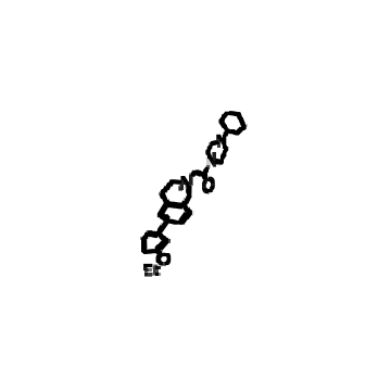 CCOc1cccc(-c2ccc3c(c2)CCN(CC(=O)N2CCN(C4CCCCC4)CC2)C3)c1